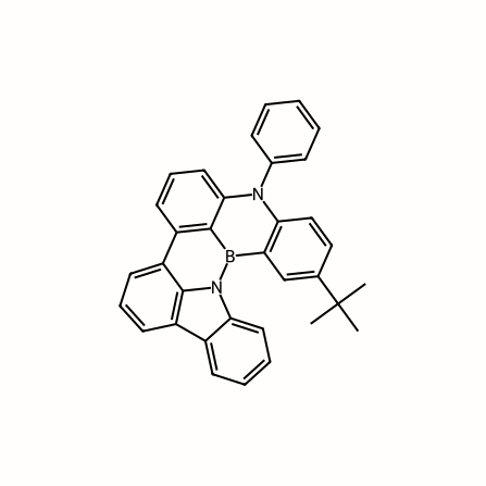 CC(C)(C)c1ccc2c(c1)B1c3c(cccc3N2c2ccccc2)-c2cccc3c4ccccc4n1c23